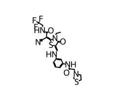 CCn1c(=C(C#N)C(=O)NCC(F)(F)F)sc(=CNc2cccc(NC(=O)CN3CCSC3)c2)c1=O